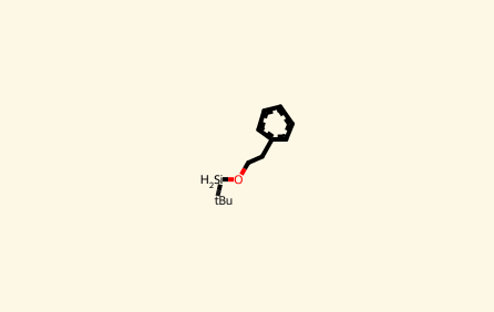 CC(C)(C)[SiH2]OCCc1ccccc1